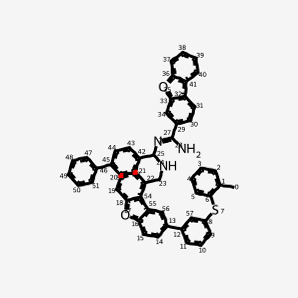 Cc1ccccc1Sc1cccc(-c2ccc3oc4cccc(CNC(/N=C(\N)c5ccc6c(c5)oc5ccccc56)c5ccc(-c6ccccc6)cc5)c4c3c2)c1